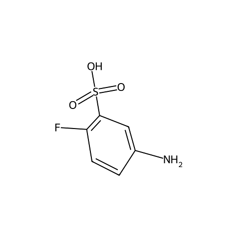 Nc1ccc(F)c(S(=O)(=O)O)c1